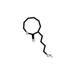 CCCCCC1CCCCCCOC1=O